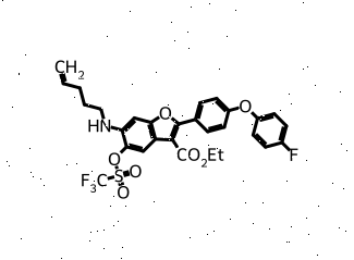 C=CCCCNc1cc2oc(-c3ccc(Oc4ccc(F)cc4)cc3)c(C(=O)OCC)c2cc1OS(=O)(=O)C(F)(F)F